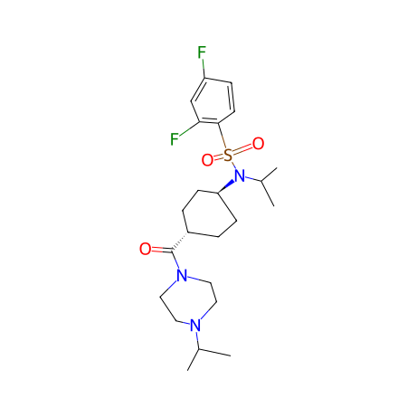 CC(C)N1CCN(C(=O)[C@H]2CC[C@H](N(C(C)C)S(=O)(=O)c3ccc(F)cc3F)CC2)CC1